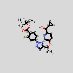 C[C@@H](Oc1ccc(C(=O)C2CC2)nc1)c1cnn(-c2ccc(C(=O)OC(C)(C)C)c(F)c2)n1